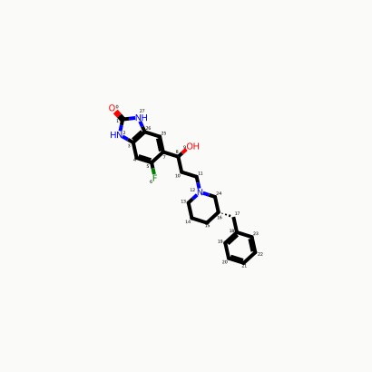 O=c1[nH]c2cc(F)c(C(O)CCN3CCC[C@@H](Cc4ccccc4)C3)cc2[nH]1